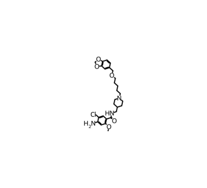 COc1cc(N)c(Cl)cc1C(=O)NCC1CCN(CCCCCOCc2ccc3c(c2)OCO3)CC1